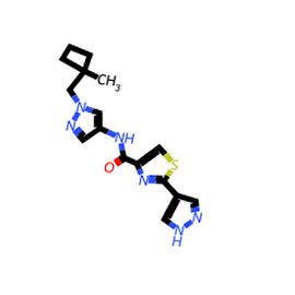 CC1(Cn2cc(NC(=O)c3csc(-c4cn[nH]c4)n3)cn2)CCC1